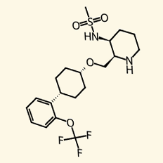 CS(=O)(=O)N[C@H]1CCCN[C@H]1CO[C@H]1CC[C@@H](c2ccccc2OC(F)(F)F)CC1